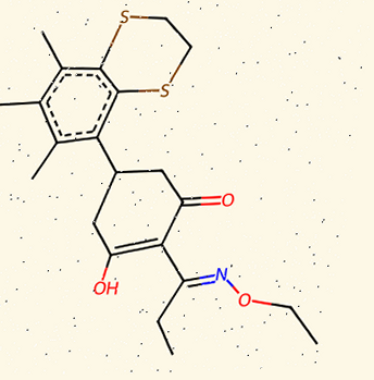 CCON=C(CC)C1=C(O)CC(c2c(C)c(C)c(C)c3c2SCCS3)CC1=O